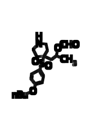 CCCCOc1ccc(S(=O)(=O)C2(CC(C)OC=O)CCNCC2)cc1